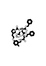 Cc1ccc(OCCC2CCN(C(=O)OC(C)(C)C)C2)cc1CNC(=O)[C@H](CCc1ccccc1)NC(=O)[C@H](CC(=O)OC(C)(C)C)NC(=O)OCc1ccccc1